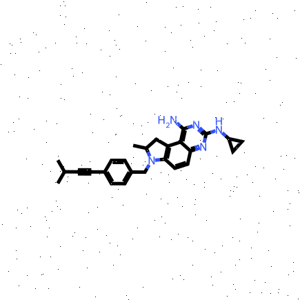 CC(C)C#Cc1ccc(CN2c3ccc4nc(NC5CC5)nc(N)c4c3CC2C)cc1